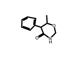 CC1OCNC(=O)C1c1ccccc1